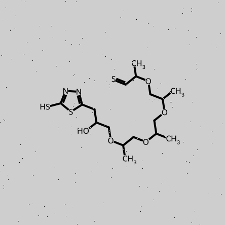 CC(C=S)OCC(C)OCC(C)OCC(C)OCC(O)Cc1nnc(S)s1